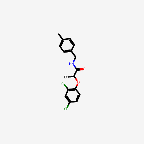 CCC(Oc1ccc(Cl)cc1Cl)C(=O)NCc1ccc(C)cc1